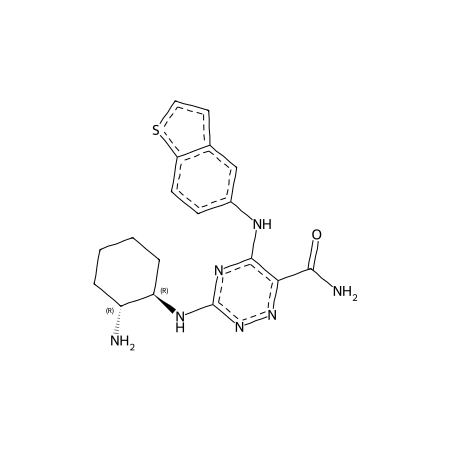 NC(=O)c1nnc(N[C@@H]2CCCC[C@H]2N)nc1Nc1ccc2sccc2c1